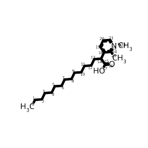 CCCCCCCCCCCCCCC(C(=O)O)c1ccc[n+](C)c1C